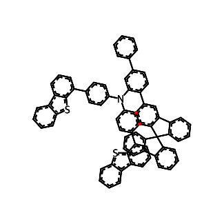 c1ccc(-c2ccc(-c3ccc4c(c3)-c3ccccc3C43c4ccccc4-c4ccccc43)c(N(c3ccc(-c4cccc5c4sc4ccccc45)cc3)c3ccc(-c4cccc5c4sc4ccccc45)cc3)c2)cc1